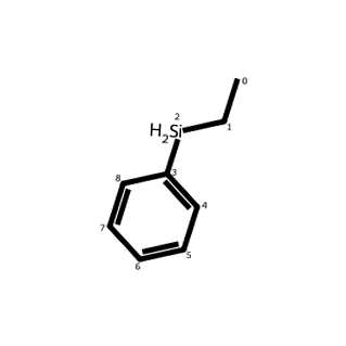 CC[SiH2]c1cc[c]cc1